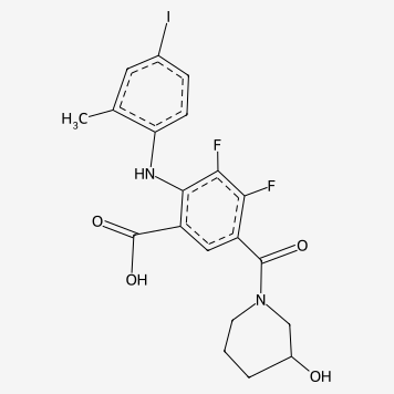 Cc1cc(I)ccc1Nc1c(C(=O)O)cc(C(=O)N2CCCC(O)C2)c(F)c1F